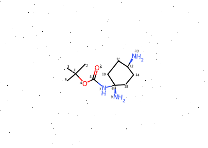 CC(C)(C)OC(=O)N[C@]1(N)CC[C@@H](N)CC1